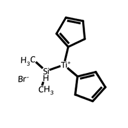 C[SiH](C)[Ti+]([C]1=CC=CC1)[C]1=CC=CC1.[Br-]